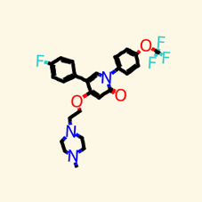 CN1CCN(CCOc2cc(=O)n(-c3ccc(OC(F)(F)F)cc3)cc2-c2ccc(F)cc2)CC1